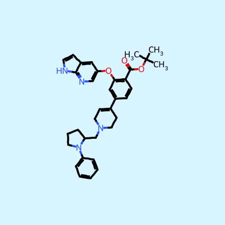 CC(C)(C)OC(=O)c1ccc(C2=CCN(CC3CCCN3c3ccccc3)CC2)cc1Oc1cnc2[nH]ccc2c1